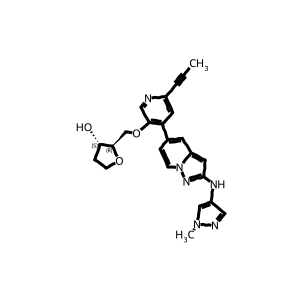 CC#Cc1cc(-c2ccn3nc(Nc4cnn(C)c4)cc3c2)c(OC[C@H]2OCC[C@@H]2O)cn1